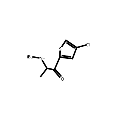 CCC(C)NC(C)C(=O)c1cc(Cl)cs1